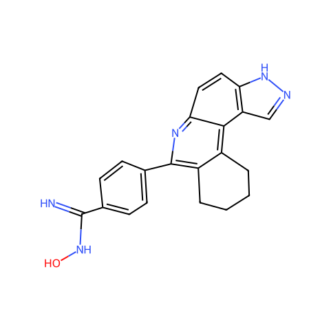 N=C(NO)c1ccc(-c2nc3ccc4[nH]ncc4c3c3c2CCCC3)cc1